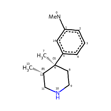 CNc1cccc([C@@]2(C)CCNC[C@@H]2C)c1